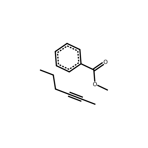 CC#CCCC.COC(=O)c1ccccc1